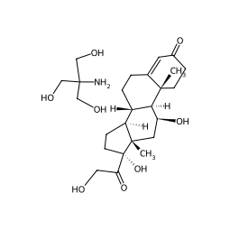 C[C@]12CCC(=O)C=C1CC[C@@H]1[C@@H]2[C@@H](O)C[C@@]2(C)[C@H]1CC[C@]2(O)C(=O)CO.NC(CO)(CO)CO